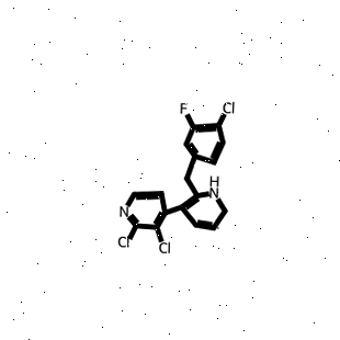 Fc1cc(CC2=C(c3ccnc(Cl)c3Cl)C=[C]CN2)ccc1Cl